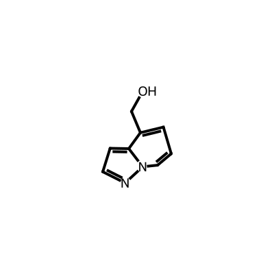 OCc1cccn2nccc12